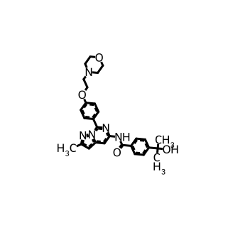 Cc1cc2cc(NC(=O)c3ccc(C(C)(C)O)cc3)nc(-c3ccc(OCCN4CCOCC4)cc3)n2n1